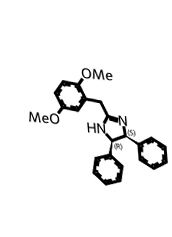 COc1ccc(OC)c(CC2=N[C@@H](c3ccccc3)[C@@H](c3ccccc3)N2)c1